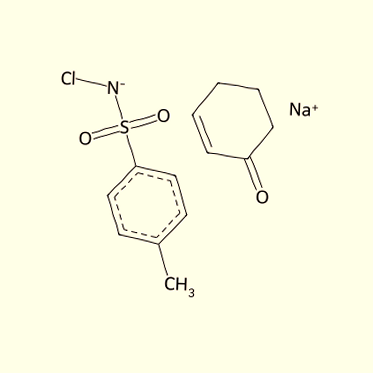 Cc1ccc(S(=O)(=O)[N-]Cl)cc1.O=C1C=CCCC1.[Na+]